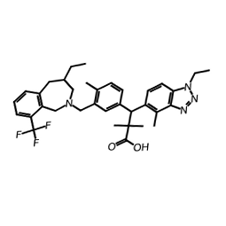 CCC1Cc2cccc(C(F)(F)F)c2CN(Cc2cc(C(c3ccc4c(nnn4CC)c3C)C(C)(C)C(=O)O)ccc2C)C1